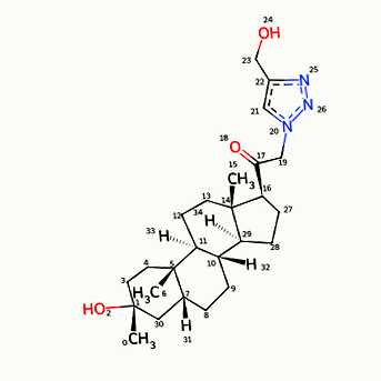 C[C@@]1(O)CC[C@@]2(C)[C@H](CC[C@@H]3[C@@H]2CC[C@]2(C)[C@@H](C(=O)Cn4cc(CO)nn4)CC[C@@H]32)C1